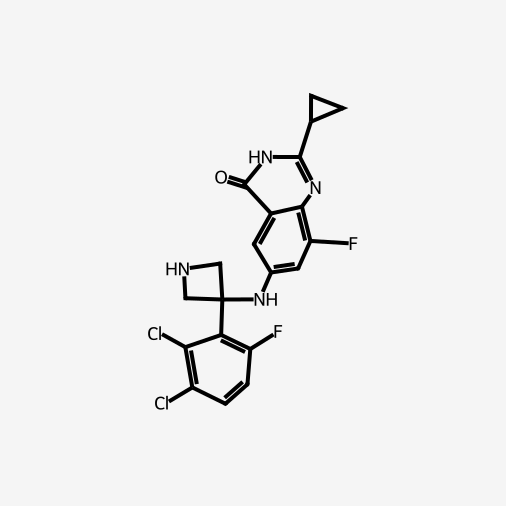 O=c1[nH]c(C2CC2)nc2c(F)cc(NC3(c4c(F)ccc(Cl)c4Cl)CNC3)cc12